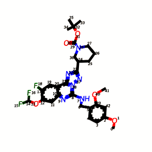 COc1ccc(CNc2nc3cc(OC(F)F)c(F)cc3c3nc(C4CCCN(C(=O)OC(C)(C)C)C4)nn23)c(OC)c1